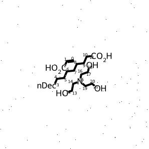 C=CC(=O)O.CCCCCCCCCCCCCCCCCC(=O)O.OCCN(CCO)CCO